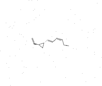 C=C[C@@H]1C[C@H]1/C=C/C=C\CC